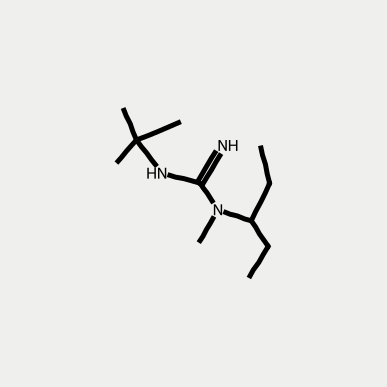 CCC(CC)N(C)C(=N)NC(C)(C)C